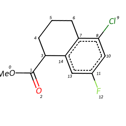 COC(=O)C1CCCc2c(Cl)cc(F)cc21